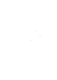 Cn1c(-c2ccccc2Cl)nnc1-c1cccc(Cl)c1Cl